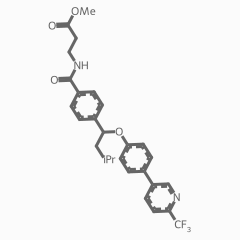 COC(=O)CCNC(=O)c1ccc(C(CC(C)C)Oc2ccc(-c3ccc(C(F)(F)F)nc3)cc2)cc1